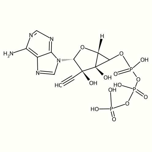 C#C[C@]1(O)[C@H](n2cnc3c(N)ncnc32)O[C@@H]2C(OP(=O)(O)OP(=O)(O)OP(=O)(O)O)[C@@]21O